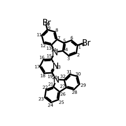 Brc1ccc2c(c1)c1cc(Br)ccc1n2-c1cccc(-n2c3ccccc3c3ccccc32)n1